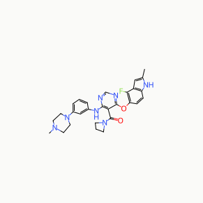 Cc1cc2c(F)c(Oc3ncnc(Nc4cccc(N5CCN(C)CC5)c4)c3C(=O)N3CCC3)ccc2[nH]1